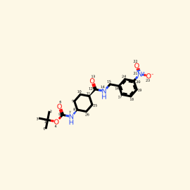 CC(C)(C)OC(=O)N[C@H]1CC[C@@H](C(=O)NCc2cccc([N+](=O)[O-])c2)CC1